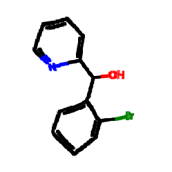 OC(c1ccccn1)c1ccccc1Br